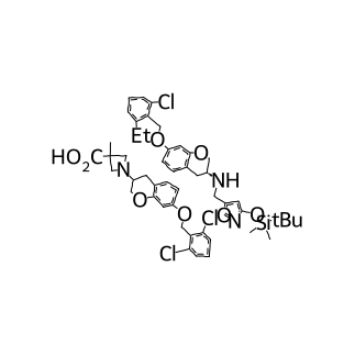 CC1(C(=O)O)CN(C2COc3cc(OCc4c(Cl)cccc4Cl)ccc3C2)C1.CCc1cccc(Cl)c1COc1ccc2c(c1)OC[C@@H](NCc1cc(O[Si](C)(C)C(C)(C)C)no1)C2